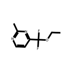 CCOC(F)(F)c1ccnc(C)n1